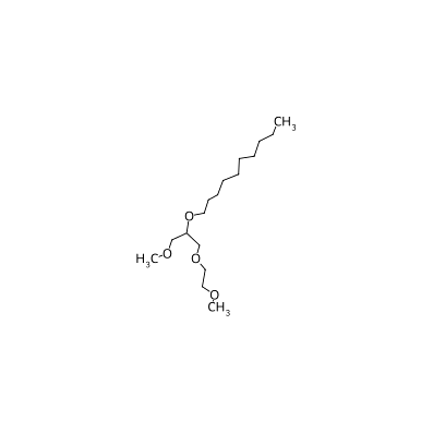 CCCCCCCCCCOC(COC)COCCOC